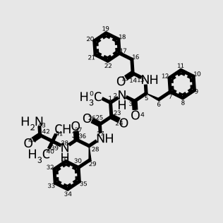 CC(NC(=O)[C@H](Cc1ccccc1)NC(=O)Cc1ccccc1)C(=O)C(=O)N[C@@H](Cc1ccccc1)C(=O)NC(C)(C)C(N)=O